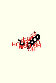 COc1cccc2c1C(=O)c1c(O)c3c(c(O)c1C2=O)CC(C)(O)CC3OC1OC(C)C(O)C(OC)C1O